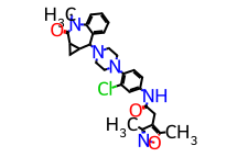 Cc1noc(C)c1CC(=O)Nc1ccc(N2CCN(C3c4ccccc4N(C)C(=O)C4CC43)CC2)c(Cl)c1